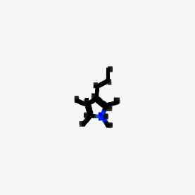 CCCc1c(C)c(C)n(C)c1C